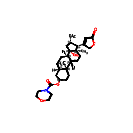 CC(=O)O[C@H]1C[C@]2(O)[C@@H]3CC[C@@H]4C[C@@H](OC(=O)N5CCOCC5)CC[C@]4(C)[C@H]3CC[C@]2(C)[C@H]1C1=CC(=O)OC1